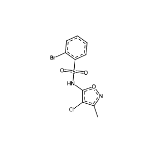 Cc1noc(NS(=O)(=O)c2ccccc2Br)c1Cl